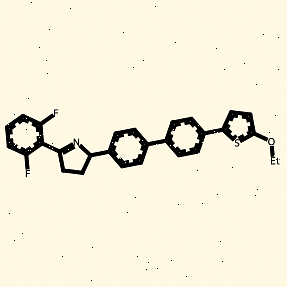 CCOc1ccc(-c2ccc(-c3ccc(C4CCC(c5c(F)cccc5F)=N4)cc3)cc2)s1